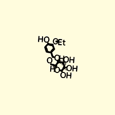 CCOc1cc(C2OC[C@H]3OC(O)[C@H](O)[C@@H](O)[C@@H]3O2)ccc1O